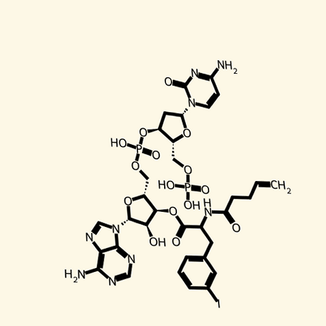 C=CCCC(=O)NC(Cc1cccc(I)c1)C(=O)O[C@H]1[C@@H](O)[C@H](n2cnc3c(N)ncnc32)O[C@@H]1COP(=O)(O)O[C@H]1C[C@H](n2ccc(N)nc2=O)O[C@@H]1COP(=O)(O)O